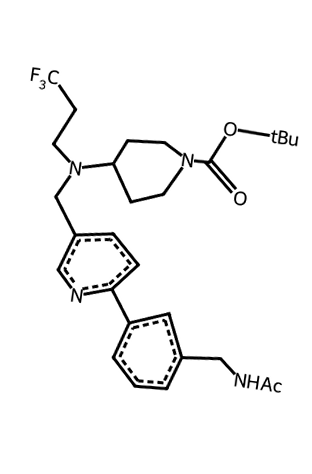 CC(=O)NCc1cccc(-c2ccc(CN(CCC(F)(F)F)C3CCN(C(=O)OC(C)(C)C)CC3)cn2)c1